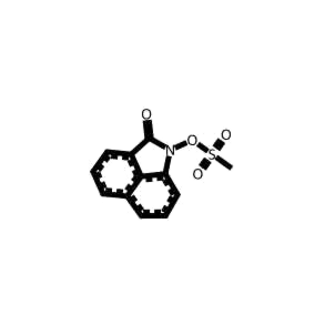 CS(=O)(=O)ON1C(=O)c2cccc3cccc1c23